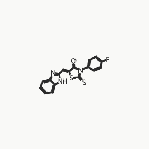 O=C1C(=Cc2nc3ccccc3[nH]2)SC(=S)N1c1ccc(F)cc1